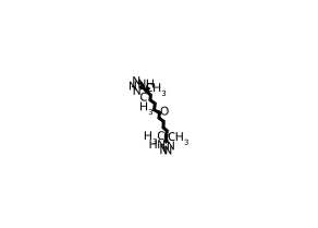 CC(C)(CCCCC(=O)CCCCC(C)(C)c1nnn[nH]1)c1nnn[nH]1